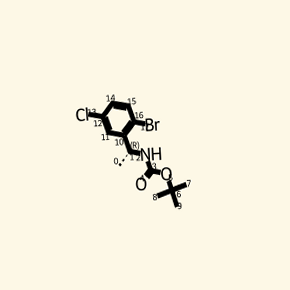 C[C@@H](NC(=O)OC(C)(C)C)c1cc(Cl)ccc1Br